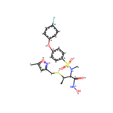 Cc1cc(CS[C@H](C)C(C(=O)NO)N(C)S(=O)(=O)c2ccc(Oc3ccc(F)cc3)cc2)no1